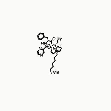 CNCCCCCC[N+]12CCO[B-]1([C@H](CC(C)C)NC(=O)[C@H](Cc1ccccc1)NC(=O)c1cnccn1)OCC2